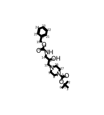 CC(C)(C)OC(=O)N1CCN(CC(O)CNC(=O)OCc2ccccc2)CC1